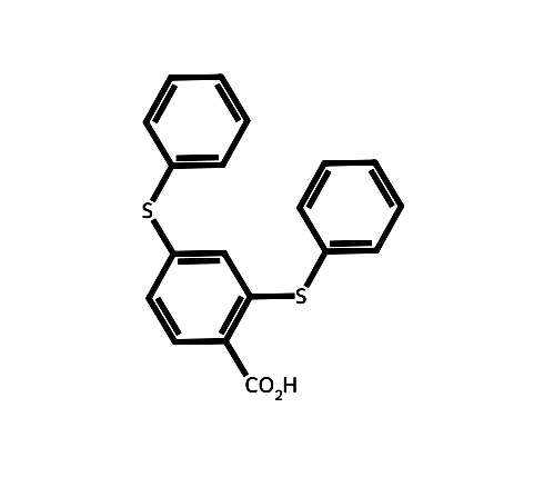 O=C(O)c1ccc(Sc2ccccc2)cc1Sc1ccccc1